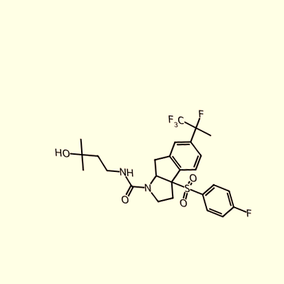 CC(C)(O)CCNC(=O)N1CCC2(S(=O)(=O)c3ccc(F)cc3)c3ccc(C(C)(F)C(F)(F)F)cc3CC12